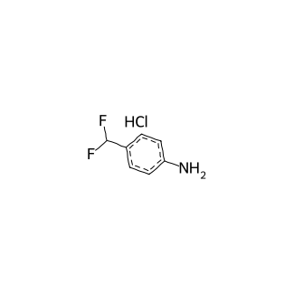 Cl.Nc1ccc(C(F)F)cc1